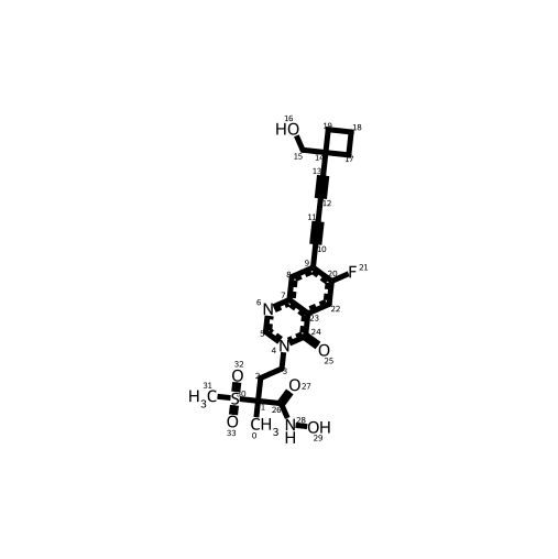 CC(CCn1cnc2cc(C#CC#CC3(CO)CCC3)c(F)cc2c1=O)(C(=O)NO)S(C)(=O)=O